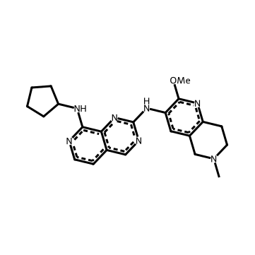 COc1nc2c(cc1Nc1ncc3ccnc(NC4CCCC4)c3n1)CN(C)CC2